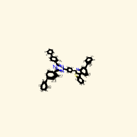 c1ccc(-c2ccc(-c3nc(-c4ccc(-c5ccccc5)cc4)nc(-c4ccc(-c5nc6cc(-c7ccccc7)ccc6c6c5sc5ccccc56)cc4)n3)cc2)cc1